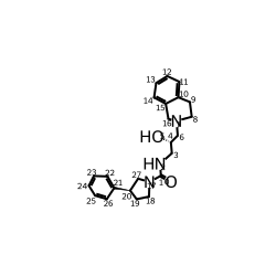 O=C(NC[C@H](O)CN1CCc2ccccc2C1)N1CC[C@@H](c2ccccc2)C1